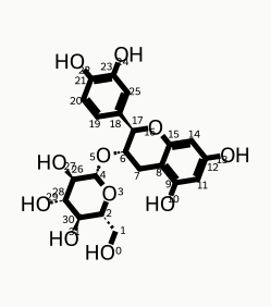 OC[C@H]1O[C@@H](O[C@H]2Cc3c(O)cc(O)cc3O[C@@H]2c2ccc(O)c(O)c2)[C@H](O)[C@@H](O)[C@@H]1O